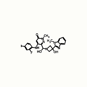 Cn1nc(C(O)N2CC(O)(c3nc4ccccc4n3C)C2)c(Nc2ccc(I)cc2F)cc1=O